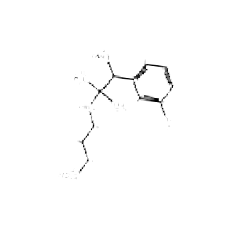 COC(c1cccc(Br)c1)C(C)(C)NCCCS(=O)(=O)O